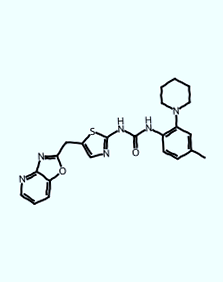 Cc1ccc(NC(=O)Nc2ncc(Cc3nc4ncccc4o3)s2)c(N2CCCCC2)c1